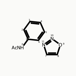 CC(=O)Nc1ccccc1.c1conn1